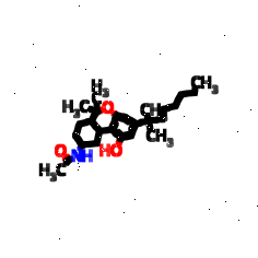 CCCCCCC(C)(C)c1cc(O)c2c(c1)OC(C)(C)C1CCC(NC(C)=O)CC21